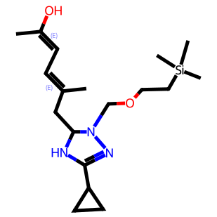 C/C(O)=C\C=C(/C)CC1NC(C2CC2)=NN1COCC[Si](C)(C)C